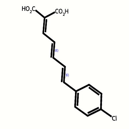 O=C(O)C(=C/C=C/C=C/c1ccc(Cl)cc1)C(=O)O